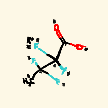 CC(F)(F)C(F)(F)C(=O)[O-].[K+]